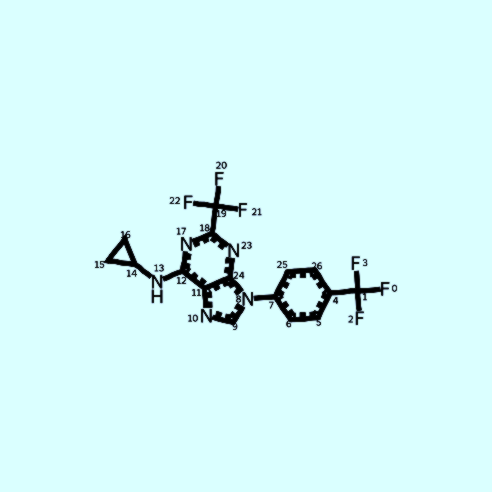 FC(F)(F)c1ccc(-n2cnc3c(NC4CC4)nc(C(F)(F)F)nc32)cc1